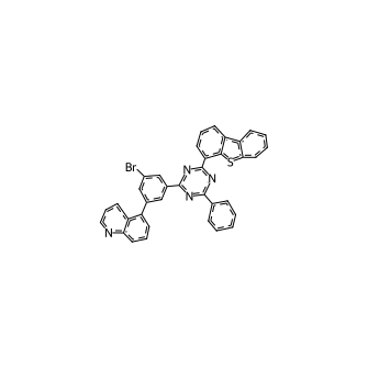 Brc1cc(-c2nc(-c3ccccc3)nc(-c3cccc4c3sc3ccccc34)n2)cc(-c2cccc3ncccc23)c1